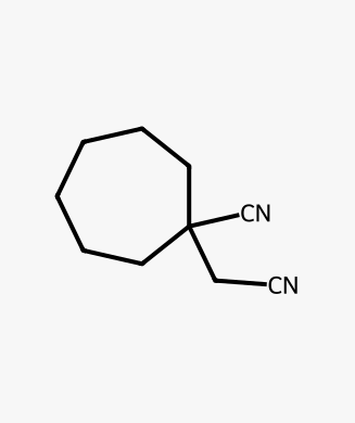 N#CCC1(C#N)CCCCCC1